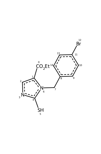 CCOC(=O)c1cnc(S)n1Cc1ccc(Br)cc1